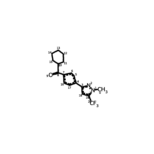 Cn1nc(-c2ccc(C(=O)C3CCCCC3)cc2)cc1C(F)(F)F